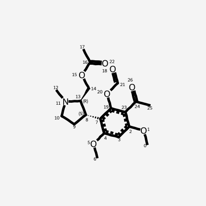 COc1cc(OC)c([C@@H]2CCN(C)[C@H]2COC(C)=O)c(OC=O)c1C(C)=O